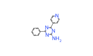 Nc1nc(-c2ccccc2)nc(-c2ccncc2)n1